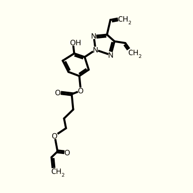 C=CC(=O)OCCCC(=O)Oc1ccc(O)c(-n2nc(C=C)c(C=C)n2)c1